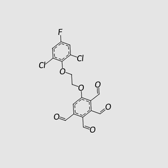 O=Cc1cc(OCCOc2c(Cl)cc(F)cc2Cl)c(C=O)c(C=O)c1C=O